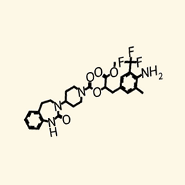 COC(=O)C(Cc1cc(C)c(N)c(C(F)(F)F)c1)OC(=O)N1CCC(N2CCc3ccccc3NC2=O)CC1